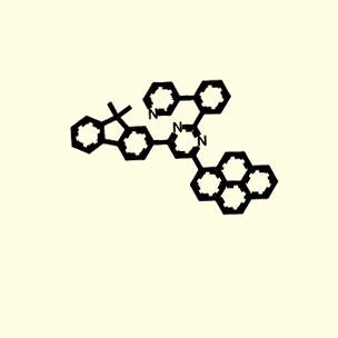 CC1(C)c2ccccc2-c2ccc(-c3cc(-c4ccc5ccc6cccc7ccc4c5c67)nc(-c4ccccc4-c4cccnc4)n3)cc21